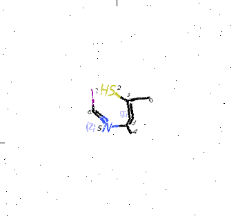 C/C(S)=C(C)/N=C\I